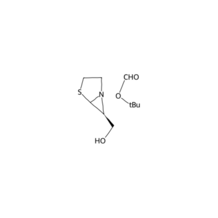 CC(C)(C)OC=O.OC[C@H]1C2SCCN21